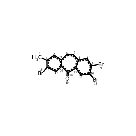 Cc1cc2ccc3cc(Br)c(Br)cc3c(=O)c2cc1Br